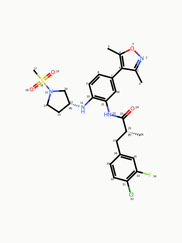 Cc1noc(C)c1-c1ccc(N[C@@H]2CCN(S(C)(=O)=O)C2)c(NC(=O)[C@H](C)Cc2ccc(Cl)c(F)c2)c1